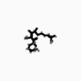 C=C(/C(=C(/C)C(C)CCC/C=C(/C)CC)C(C)C)N(C)C/N=C\N